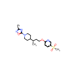 CC(C)c1noc(N2CCC([C@H](C)CCOc3ccc(S(C)(=O)=O)cn3)CC2)n1